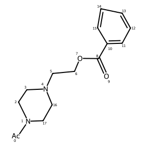 CC(=O)N1CCN(CCOC(=O)c2ccccc2)CC1